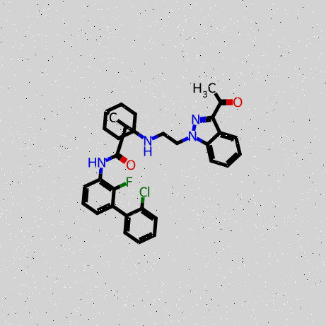 CC(=O)c1nn(CCNC23CCC(CC2)CC3C(=O)Nc2cccc(-c3ccccc3Cl)c2F)c2ccccc12